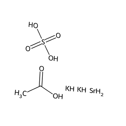 CC(=O)O.O=S(=O)(O)O.[KH].[KH].[SrH2]